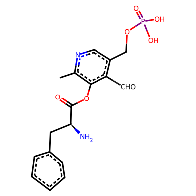 Cc1ncc(COP(=O)(O)O)c(C=O)c1OC(=O)[C@@H](N)Cc1ccccc1